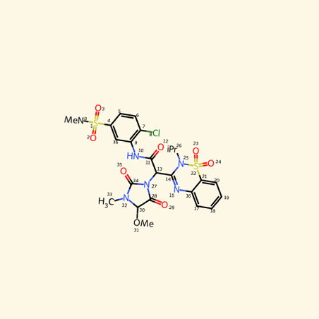 CNS(=O)(=O)c1ccc(Cl)c(NC(=O)C(C2=Nc3ccccc3S(=O)(=O)N2C(C)C)N2C(=O)C(OC)N(C)C2=O)c1